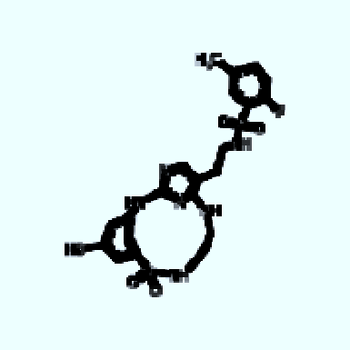 Cc1ccc(F)c(S(=O)(=O)NCCc2cnc3nc2NCCCNS(=O)(=O)c2cc(O)cc(c2)N3)c1